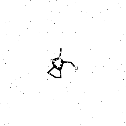 Cn1nc2c(c1CCl)CCC2